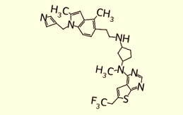 Cc1c(CCNC2CCC(N(C)c3ncnc4sc(CC(F)(F)F)cc34)C2)ccc2c1cc(C)n2CC1=CN=C1